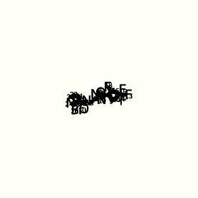 O=C(NCc1noc(-c2ccc(C(F)(F)F)cc2F)n1)c1cccnc1Br